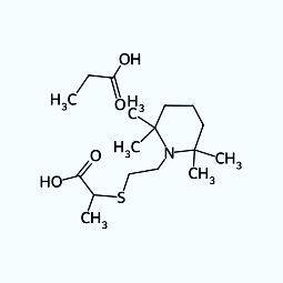 CC(SCCN1C(C)(C)CCCC1(C)C)C(=O)O.CCC(=O)O